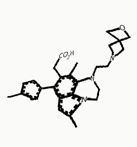 Cc1ccc(-c2c(CC(=O)O)c(C)c3c4c2cc(C)n4CCN3CCN2CC3(COC3)C2)cc1